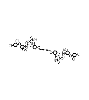 CC[C@H](NC)C(=O)N[C@@H](Cc1ccc(OCC#CC#CCOc2ccc(C[C@H](NC(=O)[C@H](CC)NC)C(=O)N3CC(C)(C)c4ncc(Oc5ccc(Cl)cc5Cl)cc43)cc2)cc1)C(=O)N1CC(C)(C)c2ncc(Oc3ccc(Cl)cc3Cl)cc21